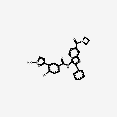 Cn1ccc(-c2cc(C(=O)Nc3c(-c4ccccc4)nc4cc(C(=O)N5CCC5)ccn34)ccc2C(F)(F)F)n1